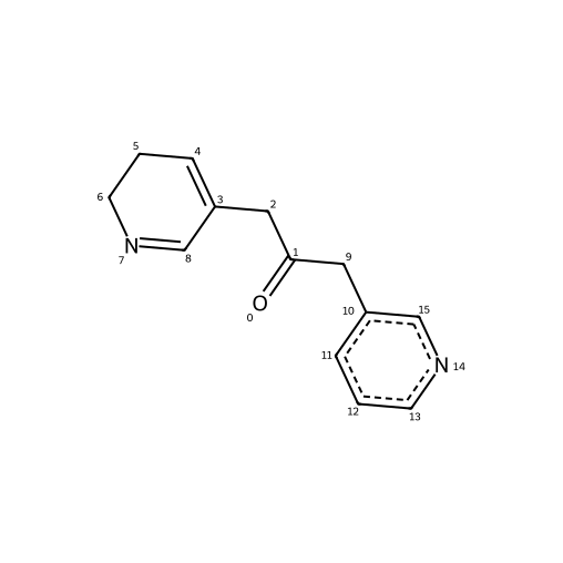 O=C(CC1=CCCN=C1)Cc1cccnc1